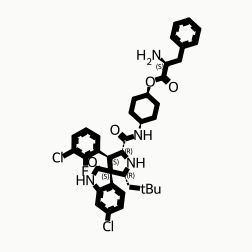 CC(C)(C)C[C@H]1N[C@@H](C(=O)N[C@H]2CC[C@H](OC(=O)[C@@H](N)Cc3ccccc3)CC2)[C@H](c2cccc(Cl)c2F)[C@@]12C(=O)Nc1cc(Cl)ccc12